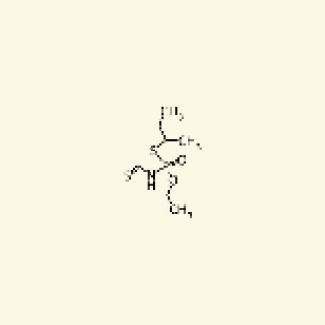 CCOP(=O)(NC=S)SC(C)CC